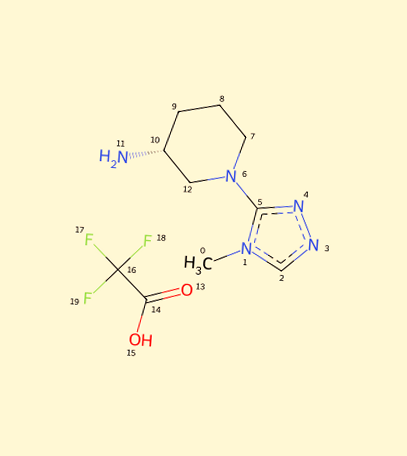 Cn1cnnc1N1CCC[C@@H](N)C1.O=C(O)C(F)(F)F